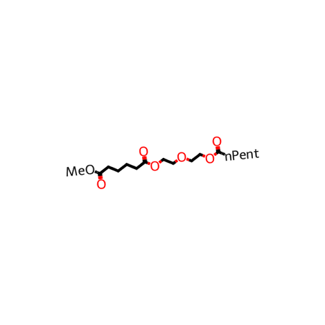 CCCCCC(=O)OCCOCCOC(=O)CCCCC(=O)OC